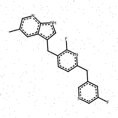 Cc1cnc2[nH]cc(Cc3ccc([CH]c4cncc(F)c4)nc3F)c2c1